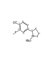 CC(C)(C)N1CCCC1c1ccc(Cl)c(F)c1